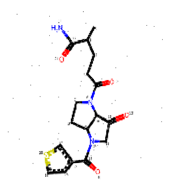 CC(C[CH]C(=O)N1CCC2C1C(=O)CN2C(=O)c1ccsc1)C(N)=O